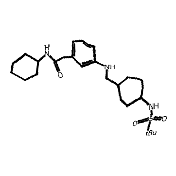 CC(C)(C)S(=O)(=O)NC1CCC(CNc2cccc(C(=O)NC3CCCCC3)c2)CC1